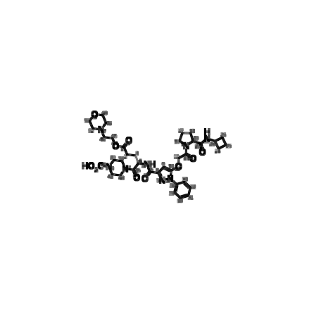 O=C(CC[C@H](NC(=O)c1cc(OCC(=O)N2CCC[C@H]2C(=O)NC2CCC2)n(-c2ccccc2)n1)C(=O)N1CCN(C(=O)O)CC1)OCCN1CCOCC1